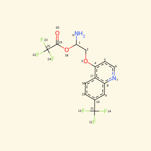 NC(COc1ccnc2cc(C(F)(F)F)ccc12)OC(=O)C(F)(F)F